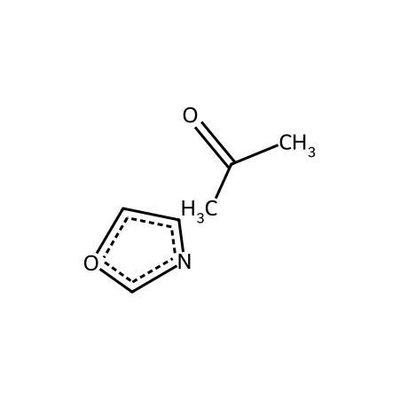 CC(C)=O.c1cocn1